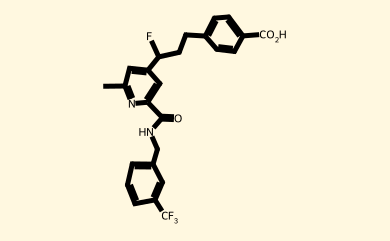 Cc1cc(C(F)CCc2ccc(C(=O)O)cc2)cc(C(=O)NCc2cccc(C(F)(F)F)c2)n1